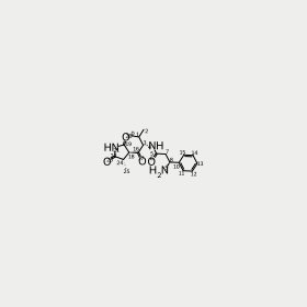 CC(C)[C@H](NC(=O)C[C@H](N)c1ccccc1)C(=O)[C@@H]1C(=O)NC(=O)[C@H]1C